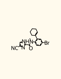 CN(C(=O)c1nc(C#N)c[nH]1)c1ccc(Br)cc1C1=CCCCC1